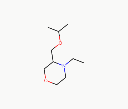 CCN1CCOCC1COC(C)C